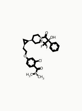 CN(C)C(=O)c1ccc(OCC[C@H]2C[C@H]2C2CCN(C(=O)[C@](O)(c3ccccc3)C(F)(F)F)CC2)cc1Cl